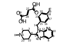 CN1CCC(c2nc3cccnc3n2Cc2ccc(F)cc2)CC1.O=C(O)C=CC(=O)O